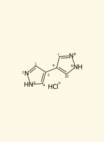 Cl.c1n[nH]cc1-c1cn[nH]c1